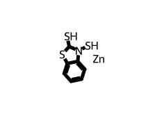 SC1Sc2ccccc2N1S.[Zn]